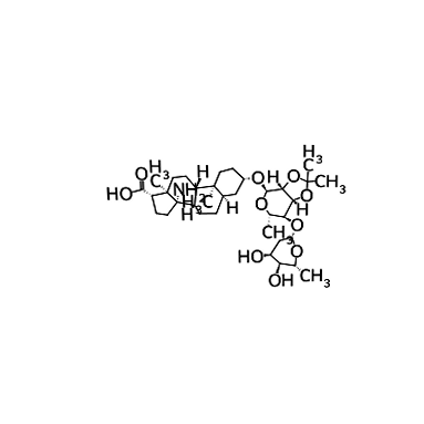 C[C@@H]1O[C@@H](O[C@H]2CC[C@@]3(C)[C@H](CC[C@@H]4[C@@H]3CC[C@]3(C)[C@@H](C(=O)O)CC[C@]43N)C2)[C@@H]2OC(C)(C)O[C@@H]2[C@H]1O[C@H]1C[C@H](O)[C@H](O)[C@@H](C)O1